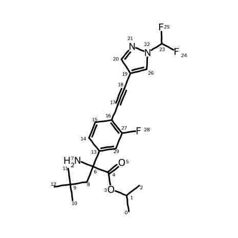 CC(C)OC(=O)C(N)(CC(C)(C)C)c1ccc(C#Cc2cnn(C(F)F)c2)c(F)c1